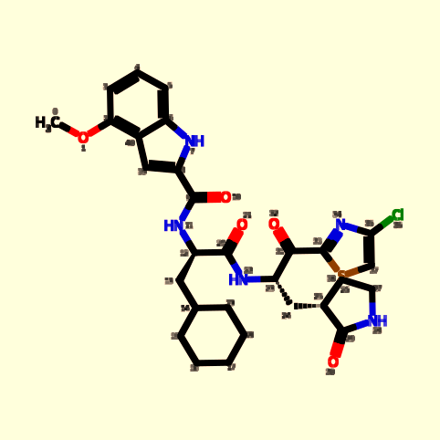 COc1cccc2[nH]c(C(=O)N[C@H](CC3CCCCC3)C(=O)N[C@@H](C[C@@H]3CCNC3=O)C(=O)c3nc(Cl)cs3)cc12